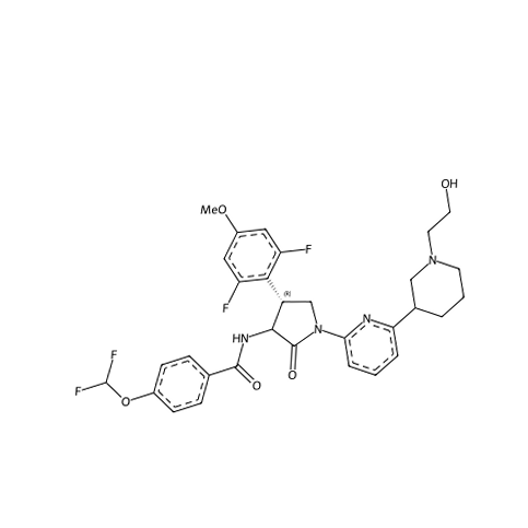 COc1cc(F)c([C@@H]2CN(c3cccc(C4CCCN(CCO)C4)n3)C(=O)C2NC(=O)c2ccc(OC(F)F)cc2)c(F)c1